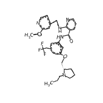 CCCN1CCC[C@H]1COc1cc(NC(=O)c2cccnc2NCc2ccnc(OC)c2)cc(C(F)(F)F)c1